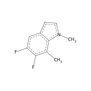 Cc1c(F)c(F)cc2ccn(C)c12